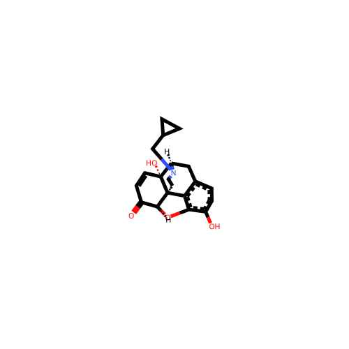 O=C1C=C[C@@]2(O)[C@H]3Cc4ccc(O)c5c4[C@@]2(CCN3CC2CC2)[C@H]1O5